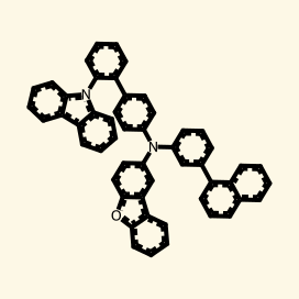 c1cc(-c2cccc3ccccc23)cc(N(c2ccc(-c3ccccc3-n3c4ccccc4c4ccccc43)cc2)c2ccc3oc4ccccc4c3c2)c1